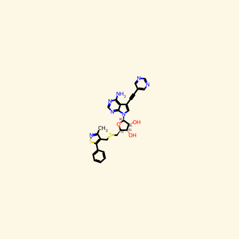 Cc1nsc(-c2ccccc2)c1CSC[C@H]1O[C@@H](n2cc(C#Cc3cncnc3)c3c(N)ncnc32)[C@H](O)[C@@H]1O